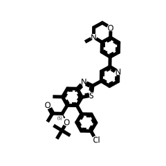 CC(=O)[C@@H](OC(C)(C)C)c1c(C)cc2nc(-c3ccnc(-c4ccc5c(c4)N(C)CCO5)c3)sc2c1-c1ccc(Cl)cc1